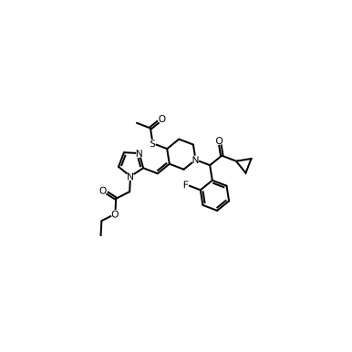 CCOC(=O)Cn1ccnc1C=C1CN(C(C(=O)C2CC2)c2ccccc2F)CCC1SC(C)=O